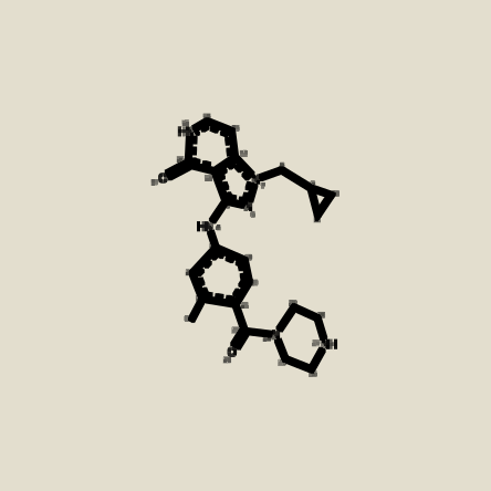 Cc1cc(Nc2nn(CC3CC3)c3cc[nH]c(=O)c23)ccc1C(=O)N1CCNCC1